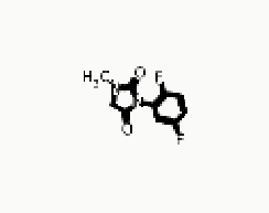 CN1CC(=O)N(c2cc(F)ccc2F)C1=O